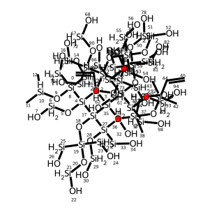 C=C[SiH](O)[Si](O[SiH2]O)([Si](O[SiH](C)C)([SiH2]O)[SiH2]O)[Si](O[Si](O[SiH2]O)([SiH2]O)[SiH2]O)([Si](O[SiH2]O)([SiH2]O)[SiH2]O)[Si](O[Si](C)(C)O[Si](C)(C)C=C)(O[Si](O[Si](O[SiH2]O)([SiH2]O)[SiH2]O)([Si](O[SiH2]O)([SiH2]O)[SiH2]O)[Si](O[SiH2]O)([SiH2]O)[SiH2]O)[Si](O[Si](O[SiH2]O)([SiH2]O)[SiH2]O)([Si](O[SiH2]O)([SiH2]O)[SiH2]O)[Si](O[SiH2]O)([SiH2]O)[SiH2]O